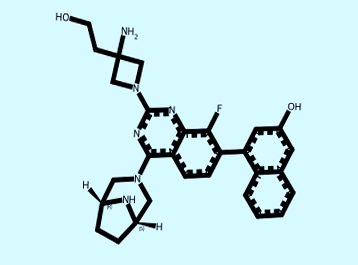 NC1(CCO)CN(c2nc(N3C[C@H]4CC[C@@H](C3)N4)c3ccc(-c4cc(O)cc5ccccc45)c(F)c3n2)C1